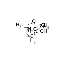 C/C=C\N1CC1(CC)CC1OC1C(C)(CC)C(C)(C)O